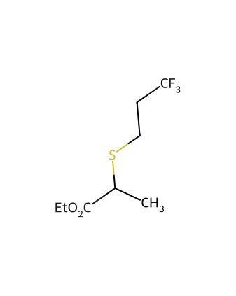 CCOC(=O)C(C)SCCC(F)(F)F